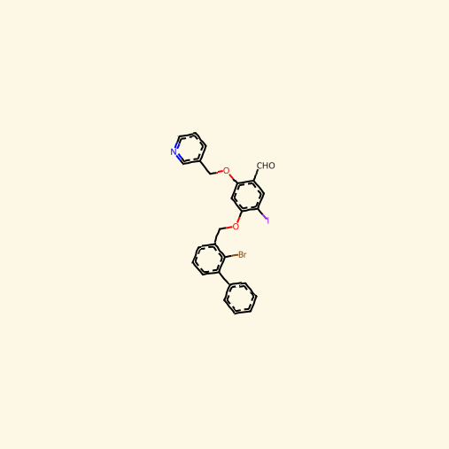 O=Cc1cc(I)c(OCc2cccc(-c3ccccc3)c2Br)cc1OCc1cccnc1